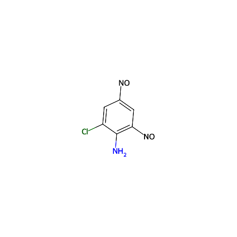 Nc1c(Cl)cc(N=O)cc1N=O